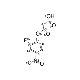 O=C(O)CC(=O)Oc1ccc([N+](=O)[O-])cc1F